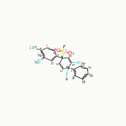 CS(=O)(=O)C1(c2ccc(Cl)c(F)c2)C=CC(F)(c2ccccc2)C(F)=C1